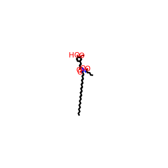 CCCCCCCCCC=CC=CC=CC=CC=CC=CC(=O)N(OC(=O)C=Cc1ccc(O)c(OC)c1)C(=O)CCCC